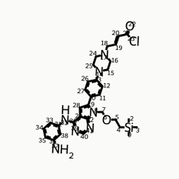 C[Si](C)(C)CCOCn1c(-c2ccc(N3CCN(C/C=C/C(=O)Cl)CC3)cc2)cc2c(Nc3cccc(N)c3)ncnc21